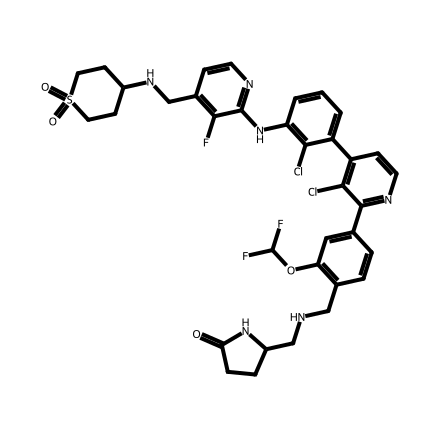 O=C1CCC(CNCc2ccc(-c3nccc(-c4cccc(Nc5nccc(CNC6CCS(=O)(=O)CC6)c5F)c4Cl)c3Cl)cc2OC(F)F)N1